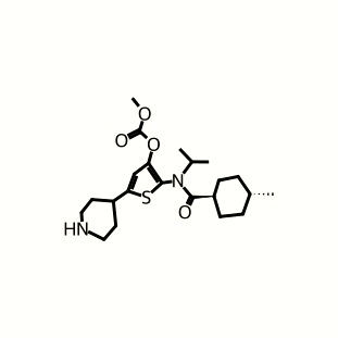 COC(=O)Oc1cc(C2CCNCC2)sc1N(C(=O)[C@H]1CC[C@H](C)CC1)C(C)C